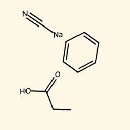 CCC(=O)O.N#[C][Na].c1ccccc1